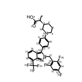 CC(C(=O)O)[C@H]1CCCN(c2ccc(-c3c4cccc(C(F)(F)F)c4nn3Cc3c(F)cc(F)cc3F)cc2)C1